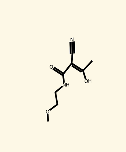 COCCNC(=O)C(C#N)=C(C)O